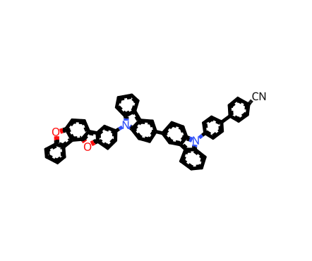 N#Cc1ccc(-c2ccc(-n3c4ccccc4c4cc(-c5ccc6c(c5)c5ccccc5n6-c5ccc6oc7c(ccc8oc9ccccc9c87)c6c5)ccc43)cc2)cc1